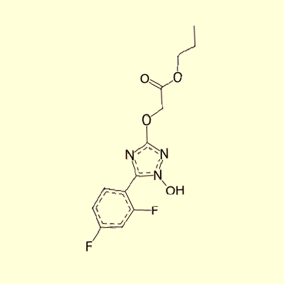 CCCOC(=O)COc1nc(-c2ccc(F)cc2F)n(O)n1